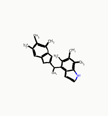 Cc1cc2c(c(C)c1C)C=C(C(C)c1c(C)c(C)c(C)c3[nH]ccc13)C2